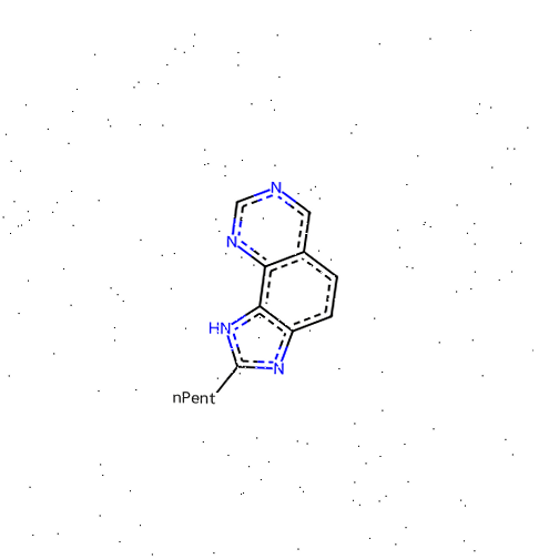 CCCCCc1nc2ccc3cncnc3c2[nH]1